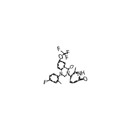 Cc1cc(F)ccc1N1CN(c2ccc(=O)[nH]c2C)C(=O)c2cc(OC(F)(F)F)ccc21